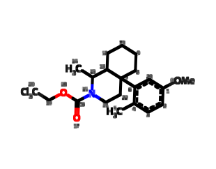 COc1ccc(C)c(C23CCCCC2C(C)N(C(=O)OCC(Cl)(Cl)Cl)CC3)c1